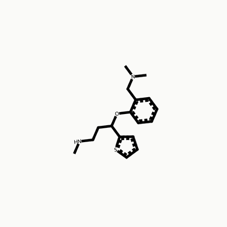 CNCCC(Oc1ccccc1CN(C)C)c1cccs1